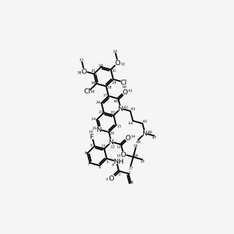 C=CC(=O)Nc1cccc(F)c1N(C(=O)OC(C)(C)C)c1cc2c(cn1)cc(-c1c(Cl)c(OC)cc(OC)c1Cl)c(=O)n2CCCN(C)C